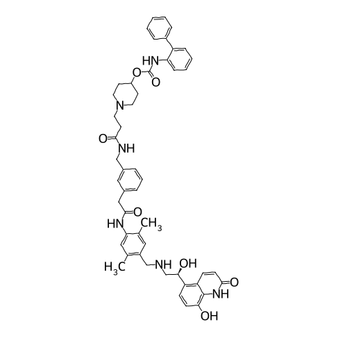 Cc1cc(NC(=O)Cc2cccc(CNC(=O)CCN3CCC(OC(=O)Nc4ccccc4-c4ccccc4)CC3)c2)c(C)cc1CNC[C@@H](O)c1ccc(O)c2[nH]c(=O)ccc12